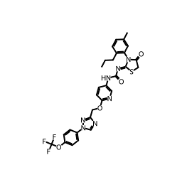 CCCc1ccc(C)cc1N1C(=O)CS/C1=N\C(=O)Nc1ccc(OCc2ncn(-c3ccc(OC(F)(F)F)cc3)n2)nc1